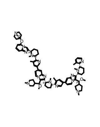 CO[C@H](c1c([C@H]2CCC[C@@H](c3ncc(-c4ccn5c([C@H](OC)C6CCN(C)CC6)c([C@H]6CCC[C@@H](c7ncccc7C)N6C)nc5c4)cc3C)N2C)nc2cc(-c3cnc([C@@H]4CCC[C@H](c5cn6c(OC78CCN(CC7)CC8)cccc6n5)N4C)c(C)c3)ccn12)C1CCN(C)CC1